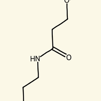 CCCNC(=O)CC[O]